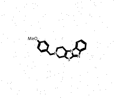 COc1ccc(CN2CCc3c(sc4nc5ccccc5n34)C2)cc1